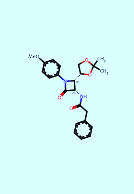 COc1ccc(N2C(=O)[C@@H](NC(=O)Cc3ccccc3)[C@H]2C2COC(C)(C)O2)cc1